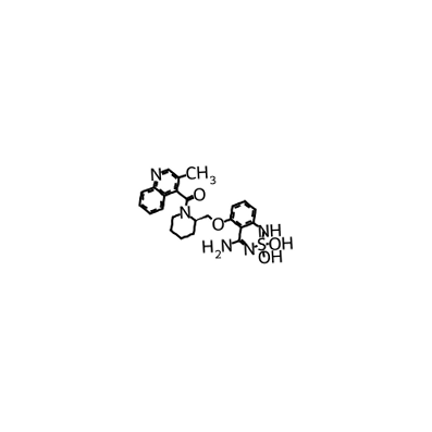 Cc1cnc2ccccc2c1C(=O)N1CCCC[C@@H]1COc1cccc2c1C(N)=NS(O)(O)N2